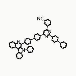 N#Cc1cccc(-c2cc(-c3ccc(-c4ccc(-c5nc6ccccc6c6c7ccccc7n(-c7ccccc7)c56)cc4)cc3)nc(-c3ccc(-c4ccccc4)cc3)n2)c1